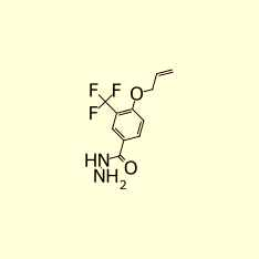 C=CCOc1ccc(C(=O)NN)cc1C(F)(F)F